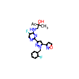 CC(=O)C(C)(O)CNc1nc(-c2cc(-c3ccon3)n(Cc3ccccc3F)n2)ncc1F